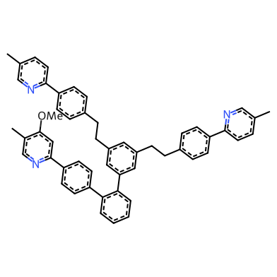 COc1cc(-c2ccc(-c3ccccc3-c3cc(CCc4ccc(-c5ccc(C)cn5)cc4)cc(CCc4ccc(-c5ccc(C)cn5)cc4)c3)cc2)ncc1C